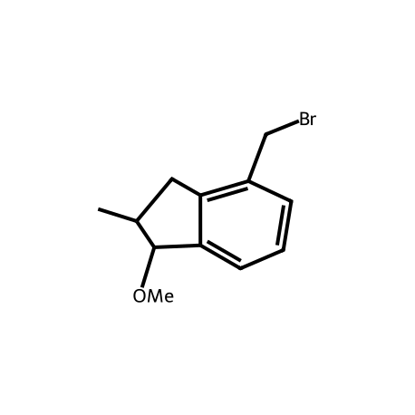 COC1c2cccc(CBr)c2CC1C